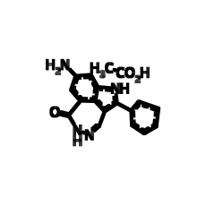 CC(=O)O.Nc1cc2c3c(c(-c4ccccc4)[nH]c3c1)C=NNC2=O